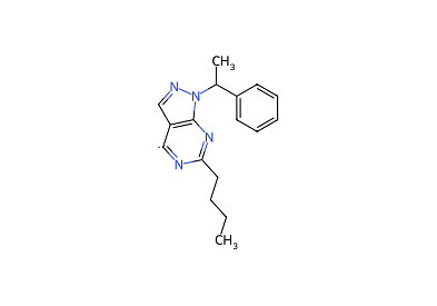 CCCCc1n[c]c2cnn(C(C)c3ccccc3)c2n1